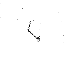 CCCCCCCC(C)CCCCCCC/C=C/C(=O)OC